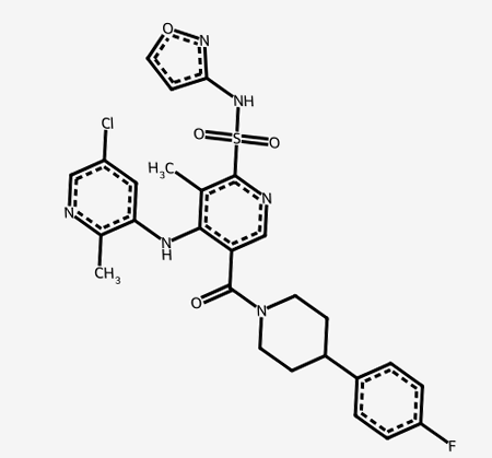 Cc1ncc(Cl)cc1Nc1c(C(=O)N2CCC(c3ccc(F)cc3)CC2)cnc(S(=O)(=O)Nc2ccon2)c1C